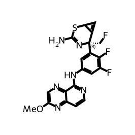 COc1cnc2c(Nc3cc(F)c(F)c([C@@]4(CF)N=C(N)SC5C=C54)c3)nccc2n1